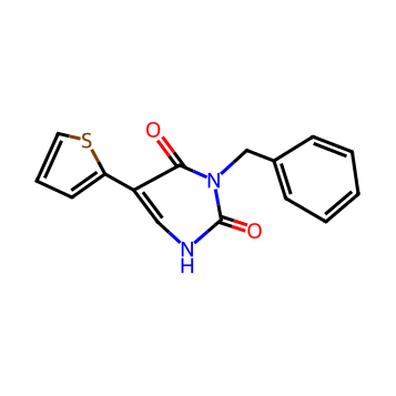 O=c1[nH]cc(-c2cccs2)c(=O)n1Cc1ccccc1